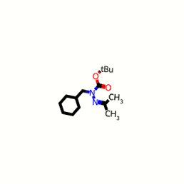 CC(C)=NN(CC1CCCCC1)C(=O)OC(C)(C)C